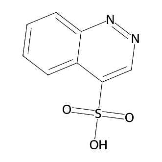 O=S(=O)(O)c1cnnc2ccccc12